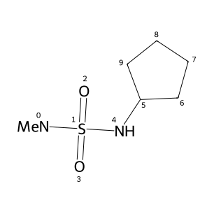 CNS(=O)(=O)NC1CCCC1